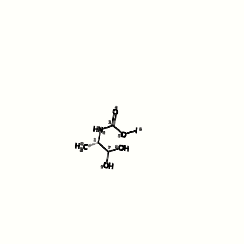 C[C@H](NC(=O)OI)C(O)O